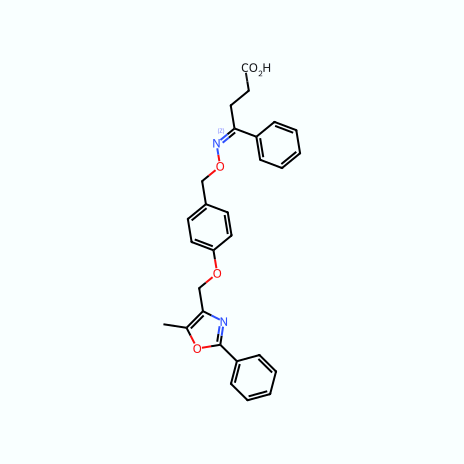 Cc1oc(-c2ccccc2)nc1COc1ccc(CO/N=C(/CCC(=O)O)c2ccccc2)cc1